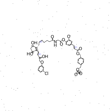 COc1cc(/C=C/C(=O)OCc2ccc(CO[N+](=O)[O-])cc2)ccc1OC(=O)CNC(=O)CCC/C=C\C[C@@H]1[C@@H](/C=C/[C@@H](O)COc2cccc(Cl)c2)[C@H](O)C[C@@H]1O